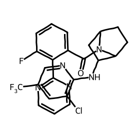 O=C(c1cccc(F)c1-c1ncccn1)N1C2CCC1C(Nc1ncc(C(F)(F)F)cc1Cl)C2